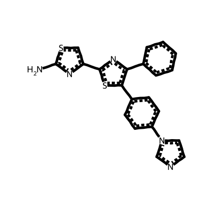 Nc1nc(-c2nc(-c3ccccc3)c(-c3ccc(-n4ccnc4)cc3)s2)cs1